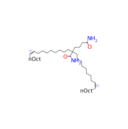 CCCCCCCC/C=C\CCCCCCCCC(CCCCCCCC/C=C\CCCCCCCC)(CCCC(N)=O)C(N)=O